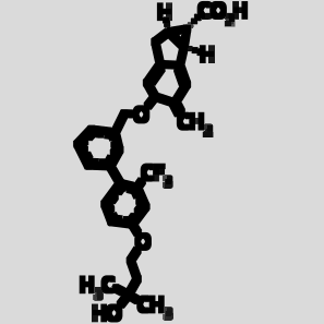 C=C1C=C2C(=CC1OCc1cccc(-c3ccc(OCCC(C)(C)O)cc3C(F)(F)F)c1)C[C@H]1[C@H](C(=O)O)[C@@H]21